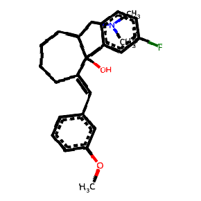 COc1cccc(C=C2CCCCC(CN(C)C)C2(O)c2cccc(F)c2)c1